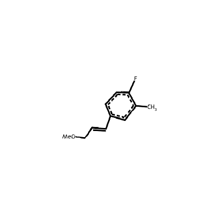 [CH2]OCC=Cc1ccc(F)c(C)c1